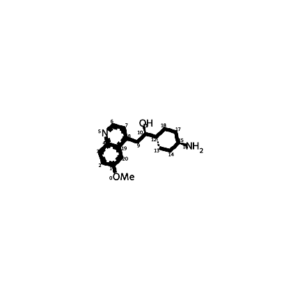 COc1ccc2nccc(C[C@@H](O)[C@H]3CC[C@H](N)CC3)c2c1